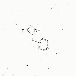 Cc1ccc(C[C@H]2NC[C@H]2F)cc1